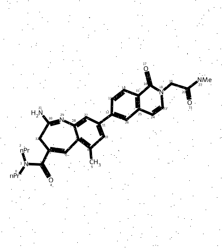 CCCN(CCC)C(=O)C1=Cc2c(C)cc(-c3ccc4c(=O)n(CC(=O)NC)ccc4c3)cc2N=C(N)C1